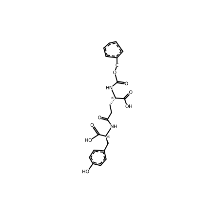 O=C(CC[C@H](NC(=O)OCc1ccccc1)C(=O)O)N[C@@H](Cc1ccc(O)cc1)C(=O)O